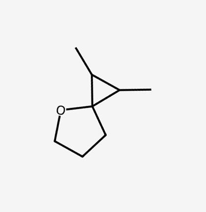 CC1C(C)C12CCCO2